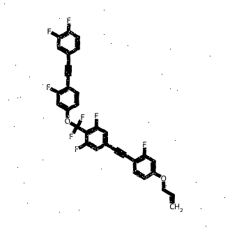 C=CCOc1ccc(C#Cc2cc(F)c(C(F)(F)Oc3ccc(C#Cc4ccc(F)c(F)c4)c(F)c3)c(F)c2)c(F)c1